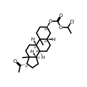 CC(=O)[C@H]1CC[C@H]2[C@@H]3CC[C@H]4C[C@H](OC(=O)OC(C)Cl)CCC4(C)[C@H]3CCC12C